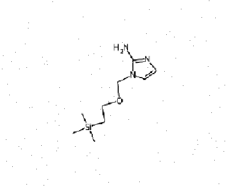 C[Si](C)(C)CCOCn1ccnc1N